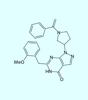 C=C(c1ccccc1)N1CCC(n2ncc3c(=O)[nH]c(Cc4ccccc4OC)nc32)C1